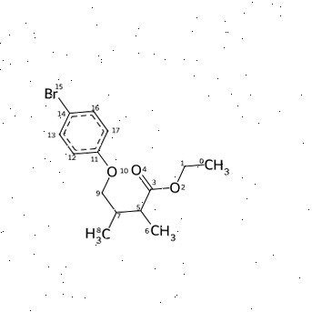 CCOC(=O)C(C)C(C)COc1ccc(Br)cc1